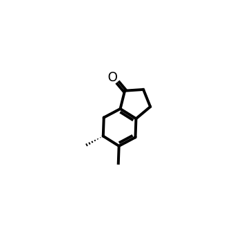 CC1=CC2=C(C[C@H]1C)C(=O)CC2